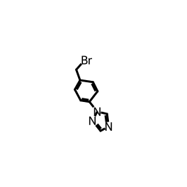 BrCc1ccc(-n2cncn2)cc1